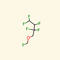 FCOCC(F)(F)C(F)C(F)F